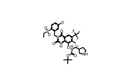 CCS(=O)(=O)c1ccc(Cl)cc1Cn1c(=O)[nH]c2c(Cl)c(C[C@@H](NC(=O)OC(C)(C)C)C3CCNC3)c(C(F)(F)F)cc2c1=O